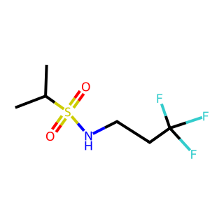 CC(C)S(=O)(=O)NCCC(F)(F)F